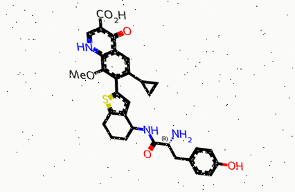 COc1c(-c2cc3c(s2)CCCC3NC(=O)[C@H](N)Cc2ccc(O)cc2)c(C2CC2)cc2c(=O)c(C(=O)O)c[nH]c12